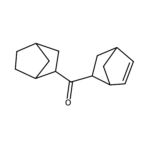 O=C(C1CC2C=CC1C2)C1CC2CCC1C2